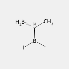 B[C@H](C)B(I)I